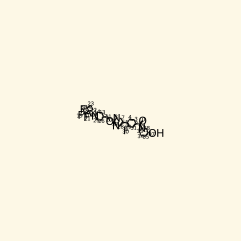 O=C(c1ccc(-c2cnc(OCC3CCN(CC4(C(F)(F)F)CCC4)CC3)nc2)c(F)c1)N1CCCC(O)C1